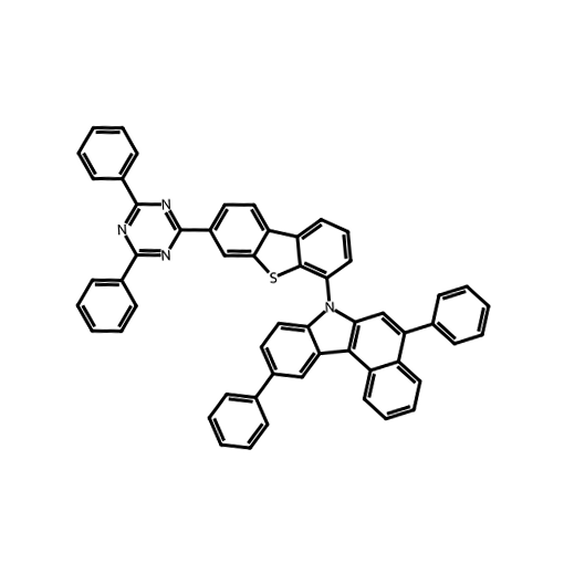 c1ccc(-c2ccc3c(c2)c2c4ccccc4c(-c4ccccc4)cc2n3-c2cccc3c2sc2cc(-c4nc(-c5ccccc5)nc(-c5ccccc5)n4)ccc23)cc1